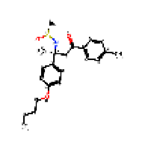 CC[C@H](C)[S@+]([O-])N[C@@](CC(=O)c1ccc(C)cc1)(c1ccc(OCCCC(F)(F)F)cc1)C(F)(F)F